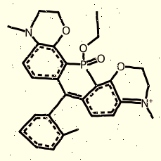 CCOP1(=O)c2c(ccc3c2OCCN3C)C(c2ccccc2C)=c2ccc3c(c21)OCC[N+]=3C